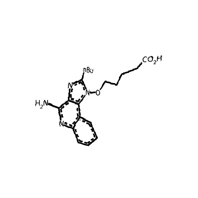 CCCCc1nc2c(N)nc3ccccc3c2n1OCCCCC(=O)O